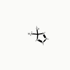 N[C]1([Cu])N=NN=N1